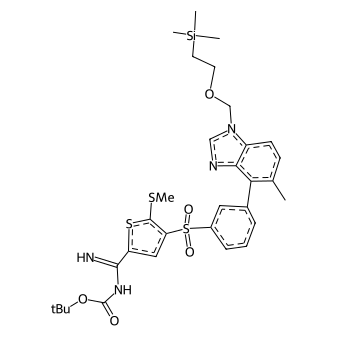 CSc1sc(C(=N)NC(=O)OC(C)(C)C)cc1S(=O)(=O)c1cccc(-c2c(C)ccc3c2ncn3COCC[Si](C)(C)C)c1